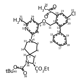 CCOC(=O)[C@@H]1CC2(CCN(c3cc(OCc4c(-c5ccccc5)cc(Cl)cc4S(C)(=O)=O)nc(N)n3)CC2)CN1C(=O)OC(C)(C)C